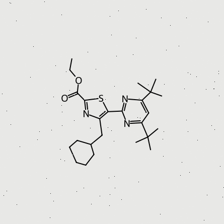 CCOC(=O)c1nc(CC2CCCCC2)c(-c2nc(C(C)(C)C)cc(C(C)(C)C)n2)s1